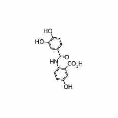 O=C(Nc1ccc(O)cc1C(=O)O)c1ccc(O)c(O)c1